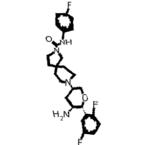 N[C@H]1C[C@@H](N2CCC3(CCN(C(=O)Nc4ccc(F)cc4)C3)CC2)CO[C@@H]1c1cc(F)ccc1F